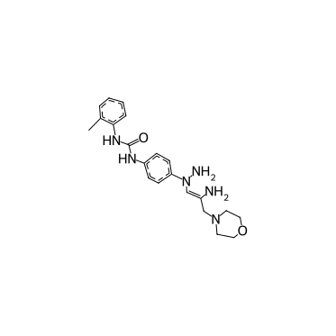 Cc1ccccc1NC(=O)Nc1ccc(N(N)/C=C(\N)CN2CCOCC2)cc1